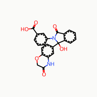 O=C1COc2ccc(C3(O)c4ccccc4C(=O)N3c3cccc(C(=O)O)c3)cc2N1